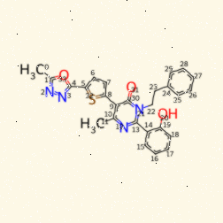 Cc1nnc(-c2ccc(-c3c(C)nc(-c4ccccc4O)n(CCc4ccccc4)c3=O)s2)o1